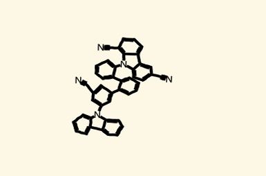 N#Cc1cc(-c2ccccc2-c2ccccc2-n2c3ccc(C#N)cc3c3cccc(C#N)c32)cc(-n2c3ccccc3c3ccccc32)c1